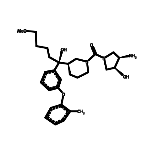 COCCCC[C@@](O)(c1cccc(Oc2ccccc2C)c1)[C@@H]1CCCN(C(=O)N2C[C@@H](N)[C@@H](O)C2)C1